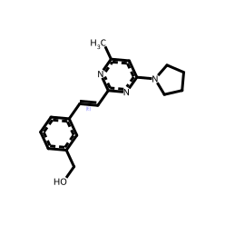 Cc1cc(N2CCCC2)nc(/C=C/c2cccc(CO)c2)n1